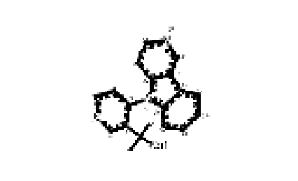 CC(C)(O)c1cnccc1-n1c2ccccc2c2cnccc21